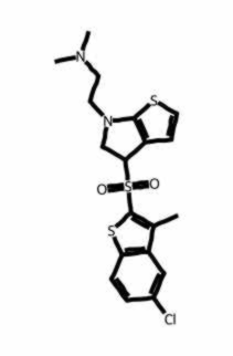 Cc1c(S(=O)(=O)C2CN(CCN(C)C)c3sccc32)sc2ccc(Cl)cc12